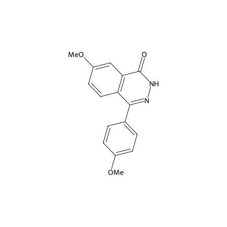 COc1ccc(-c2n[nH]c(=O)c3cc(OC)ccc23)cc1